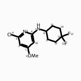 COc1cc(Cl)nc(NC2CCC(F)(F)CC2)c1